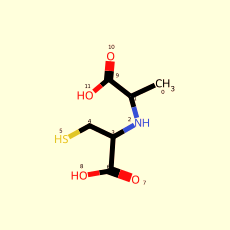 CC(NC(CS)C(=O)O)C(=O)O